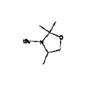 CC1COC(C)(C)N1C(C)(C)C